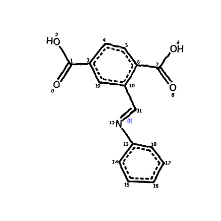 O=C(O)c1ccc(C(=O)O)c(/C=N/c2ccccc2)c1